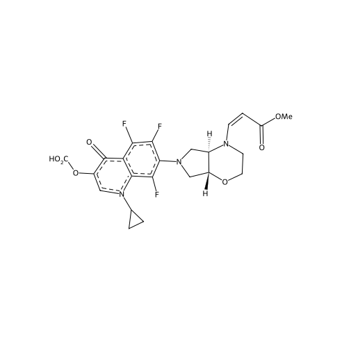 COC(=O)/C=C\N1CCO[C@@H]2CN(c3c(F)c(F)c4c(=O)c(OC(=O)O)cn(C5CC5)c4c3F)C[C@H]21